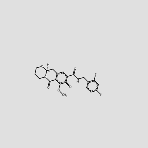 COc1c2n(cc(C(=O)NCc3ccc(F)cc3F)c1=O)C[C@@H]1OCCCN1C2=O